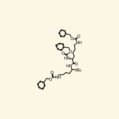 CC(C)(C)C(CCCCNC(=O)OCc1ccccc1)NC(=O)C(CCCCNC(=O)OCc1ccccc1)NC(=O)OCc1ccccc1